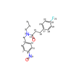 CCCN(Cc1ccc(N=O)cc1)C(=O)CCc1ccc(F)cc1